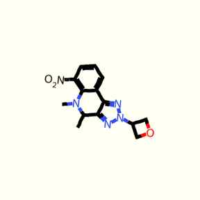 CC1c2nn(C3COC3)nc2-c2cccc([N+](=O)[O-])c2N1C